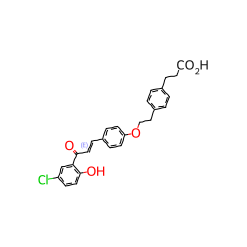 O=C(O)CCc1ccc(CCOc2ccc(/C=C/C(=O)c3cc(Cl)ccc3O)cc2)cc1